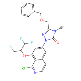 CCn1c(COCc2ccccc2)nn(-c2cc(OC(CF)C(F)F)c3c(Cl)nccc3c2)c1=O